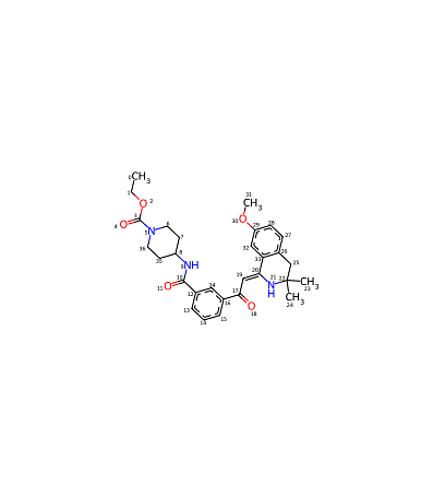 CCOC(=O)N1CCC(NC(=O)c2cccc(C(=O)/C=C3\NC(C)(C)Cc4ccc(OC)cc43)c2)CC1